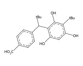 CC(C)(C)c1c(O)cc(O)c(C(c2ccc(C(=O)O)cc2)C(C)(C)C)c1O